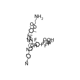 Cc1cc(C[n+]2cnn(C[C@](O)(c3ccc(F)cc3F)[C@H](C)Cc3nc(-c4ccc(C#N)cc4)cs3)c2)cc(C)c1OC(=O)CCCN.O=C(O)C(F)(F)F.[Br-]